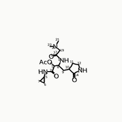 CC(=O)OC(C(=O)NC1CC1)C(CC1CCNC1=O)NC(=O)CN(C)C